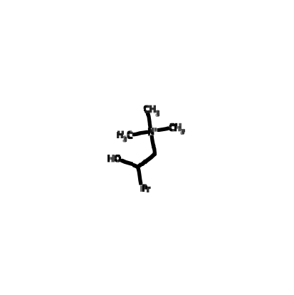 CC(C)C(O)C[N+](C)(C)C